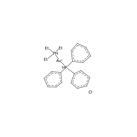 CC[PH](CC)(CC)[Au+][PH](c1ccccc1)(c1ccccc1)c1ccccc1.[Cl-]